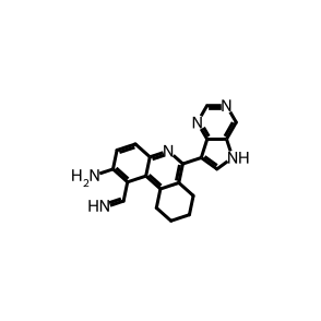 N=Cc1c(N)ccc2nc(-c3c[nH]c4cncnc34)c3c(c12)CCCC3